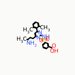 Cc1cccc(C)c1-c1cc(CCC(C)N)nc(NS(=O)(=O)c2cccc(C(=O)O)c2)n1